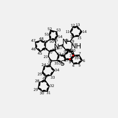 C1=C(c2ccccc2)NC(c2ccccc2)N=C1N1C2=C(CC(c3ccc(-c4ccccc4)cc3)c3sc4ccccc4c32)c2ccccc2-c2ccccc21